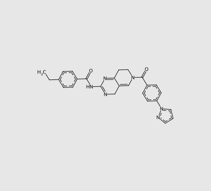 CCc1ccc(C(=O)NC2=NCC3=CN(C(=O)c4ccc(-n5cccn5)cc4)CCC3=N2)cc1